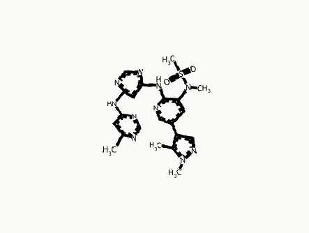 Cc1cc(Nc2cc(Nc3ncc(-c4cnn(C)c4C)cc3N(C)S(C)(=O)=O)ncn2)ncn1